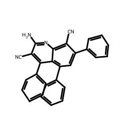 N#Cc1c(N)nc2c(C#N)c(-c3ccccc3)cc(-c3ccccc3)c2c1-c1ccccc1